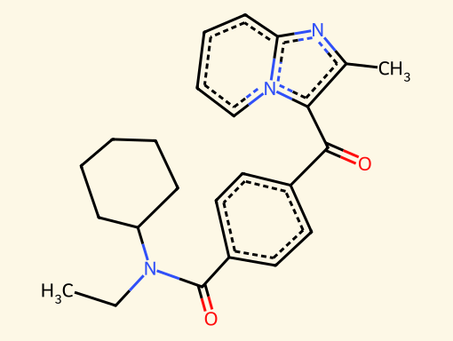 CCN(C(=O)c1ccc(C(=O)c2c(C)nc3ccccn23)cc1)C1CCCCC1